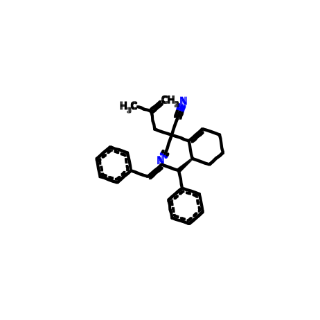 C=C(C)CC(C#N)(C#N)C1=CCCC[C@H]1C(/C=C/c1ccccc1)c1ccccc1